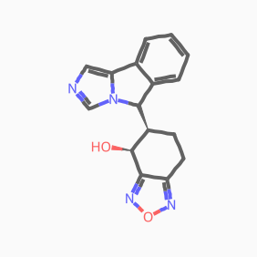 O[C@@H]1c2nonc2CC[C@@H]1C1c2ccccc2-c2cncn21